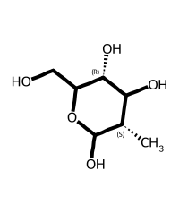 C[C@@H]1C(O)OC(CO)[C@H](O)C1O